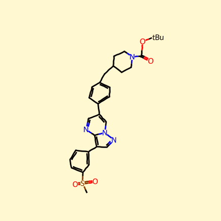 CC(C)(C)OC(=O)N1CCC(Cc2ccc(-c3cnc4c(-c5cccc(S(C)(=O)=O)c5)cnn4c3)cc2)CC1